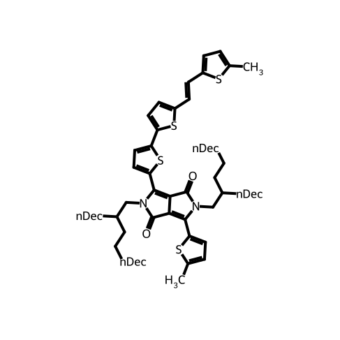 CCCCCCCCCCCCC(CCCCCCCCCC)CN1C(=O)C2=C(c3ccc(-c4ccc(/C=C/c5ccc(C)s5)s4)s3)N(CC(CCCCCCCCCC)CCCCCCCCCCCC)C(=O)C2=C1c1ccc(C)s1